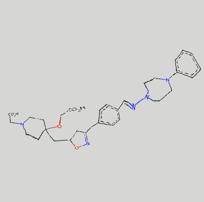 O=C(O)COC1(CC2CC(c3ccc(/C=N/N4CCN(c5ccccc5)CC4)cc3)=NO2)CCN(CC(=O)O)CC1